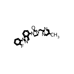 Cc1cnc(CN2CCN(c3cccc4c3cnn4-c3ccccc3F)C2=O)nc1